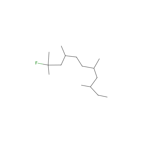 CCC(C)CC(C)CCC(C)CC(C)(C)F